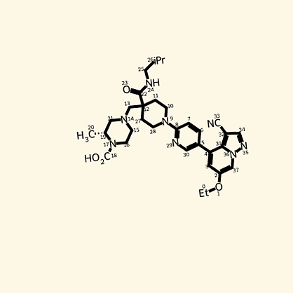 CCOc1cc(-c2ccc(N3CCC(CN4CCN(C(=O)O)[C@H](C)C4)(C(=O)NCC(C)C)CC3)nc2)c2c(C#N)cnn2c1